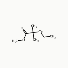 CC[Te]C(C)(C)C(=O)OC